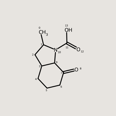 CC1CC2CCCC(=O)C2N1C(=O)O